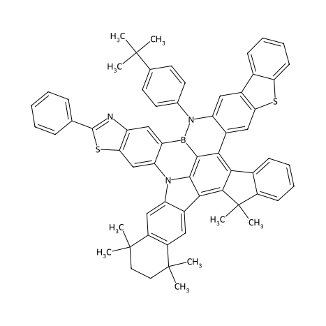 CC(C)(C)c1ccc(N2B3c4cc5nc(-c6ccccc6)sc5cc4-n4c5cc6c(cc5c5c7c(c(c3c54)-c3cc4sc5ccccc5c4cc32)-c2ccccc2C7(C)C)C(C)(C)CCC6(C)C)cc1